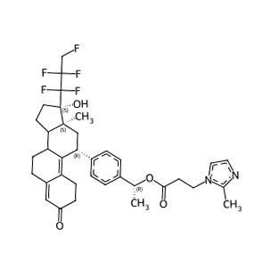 Cc1nccn1CCC(=O)O[C@H](C)c1ccc([C@H]2C[C@@]3(C)C(CC[C@@]3(O)C(F)(F)C(F)(F)CF)C3CCC4=CC(=O)CCC4=C32)cc1